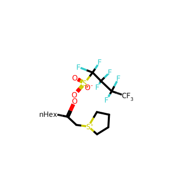 CCCCCCC(=O)C[S+]1CCCC1.O=S(=O)([O-])C(F)(F)C(F)(F)C(F)(F)C(F)(F)F